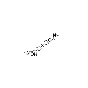 CC(COc1ccc(C(C)(C)c2ccc(CCC(O)CN3CC3C)cc2)cc1)CN1CC1C